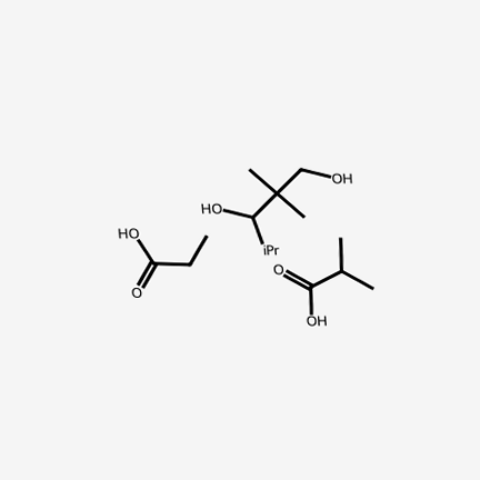 CC(C)C(=O)O.CC(C)C(O)C(C)(C)CO.CCC(=O)O